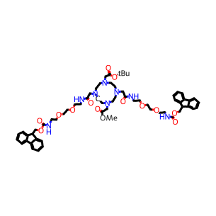 COC(=O)CN1CCN(CC(=O)NCCOCCOCCNC(=O)OCC2c3ccccc3-c3ccccc32)CCN(CC(=O)OC(C)(C)C)CCN(CC(=O)NCCOCCOCCNC(=O)OCC2c3ccccc3-c3ccccc32)CC1